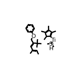 CC1=C(C)C(C)[C]([Ti][SiH](C)C)=C1C.CC=C(C)C=C(COc1ccccc1)C(C)(C)C